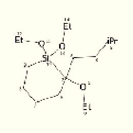 CCOC1(CCC(C)C)CCCC[Si]1(OCC)OCC